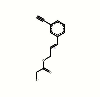 C#Cc1cccc(/C=C/COC(=O)CC(C)=O)c1